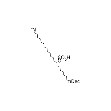 CCCCCCCCCCCCCCCCCC(CCCCCCCCCCCCCN(C)C)OC(=O)O